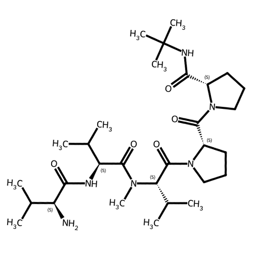 CC(C)[C@H](N)C(=O)N[C@H](C(=O)N(C)[C@H](C(=O)N1CCC[C@H]1C(=O)N1CCC[C@H]1C(=O)NC(C)(C)C)C(C)C)C(C)C